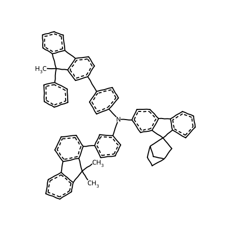 CC1(C)c2ccccc2-c2cccc(-c3cccc(N(c4ccc(-c5ccc6c(c5)C(C)(c5ccccc5)c5ccccc5-6)cc4)c4ccc5c(c4)C4(CC6CCC4C6)c4ccccc4-5)c3)c21